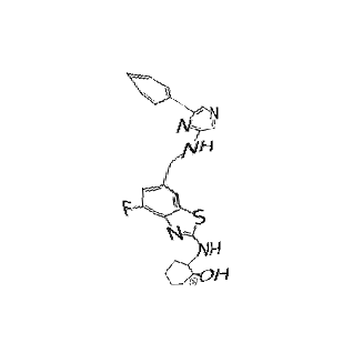 O[C@H]1CCCCC1Nc1nc2c(F)cc(CNc3cncc(-c4ccccc4)n3)cc2s1